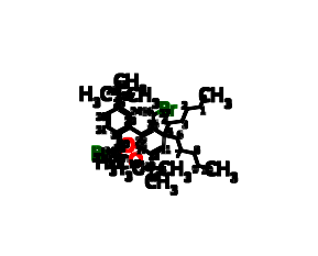 CCCCCC1(CCCCC)C=C(C(C)(C)C)C(OC)(OC)C(c2cc(C(C)(C)C)ccc2CBr)=C1CBr